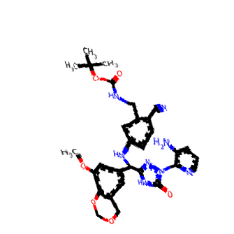 COc1cc(C(Nc2ccc(C#N)c(CNC(=O)OC(C)(C)C)c2)c2nn(-c3ncccc3N)c(=O)[nH]2)cc2c1OCOC2